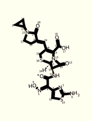 Nc1nc(/C(=N/O)C(=O)N[C@@H]2C(=O)N3C(C(=O)O)=C(/C=C4\CCN(C5CC5)C4=O)CS[C@H]23)cs1